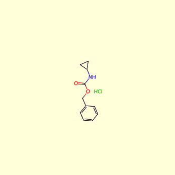 Cl.O=C(NC1CC1)OCc1ccccc1